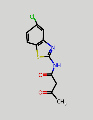 CC(=O)CC(=O)Nc1nc2cc(Cl)ccc2s1